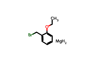 CCOc1ccccc1CBr.[MgH2]